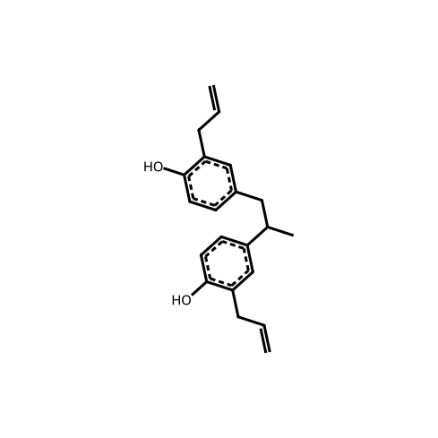 C=CCc1cc(CC(C)c2ccc(O)c(CC=C)c2)ccc1O